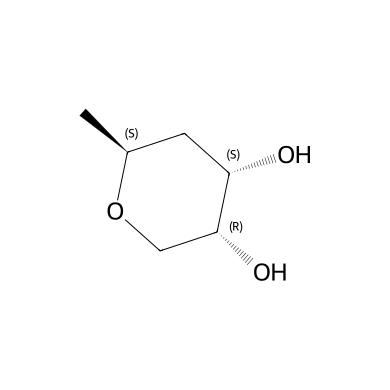 C[C@H]1C[C@H](O)[C@H](O)CO1